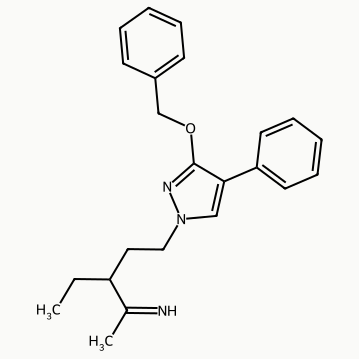 CCC(CCn1cc(-c2ccccc2)c(OCc2ccccc2)n1)C(C)=N